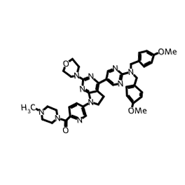 COc1ccc(CN(Cc2ccc(OC)cc2)c2ncc(-c3nc(N4CCOCC4)nc4c3CCN4c3ccc(C(=O)N4CCN(C)CC4)nc3)cn2)cc1